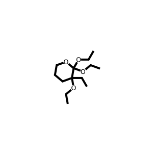 CCOC1(CC)CCCOC1(OCC)OCC